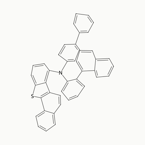 c1ccc(-c2ccc(N(c3ccccc3-c3cccc4ccccc34)c3cccc4sc5c6ccccc6ccc5c34)cc2)cc1